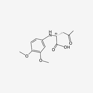 COc1ccc(N[C@H](CC(C)=O)C(=O)O)cc1OC